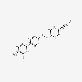 CC#C[C@H]1CC[C@H](CCc2ccc(-c3ccc(CCC)c(F)c3)cc2)CC1